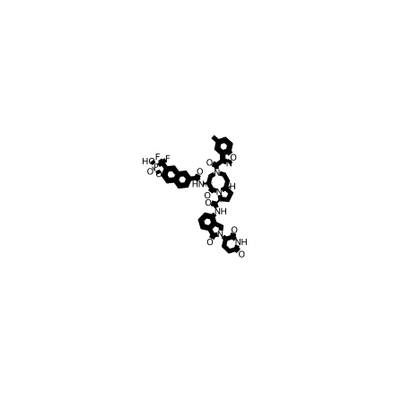 Cc1ccc2onc(C(=O)N3CC[C@H]4CC[C@@H](C(=O)Nc5cccc6c5CN(C5CCC(=O)NC5=O)C6=O)N4C(=O)[C@@H](NC(=O)c4ccc5ccc(C(F)(F)P(=O)(O)O)cc5c4)C3)c2c1